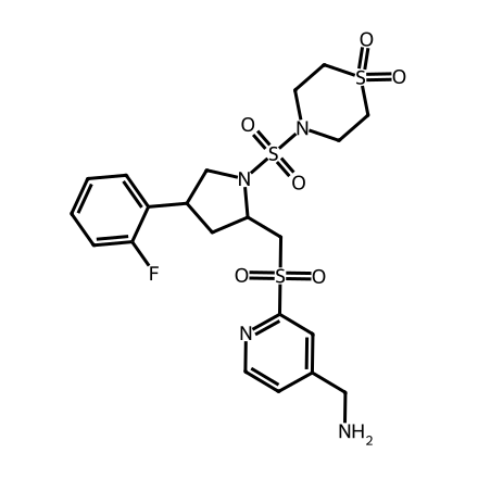 NCc1ccnc(S(=O)(=O)CC2CC(c3ccccc3F)CN2S(=O)(=O)N2CCS(=O)(=O)CC2)c1